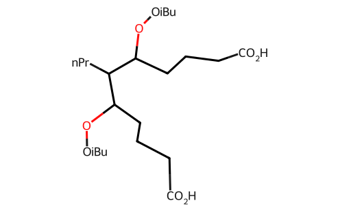 [CH2]CCC(C(CCCC(=O)O)OOCC(C)C)C(CCCC(=O)O)OOCC(C)C